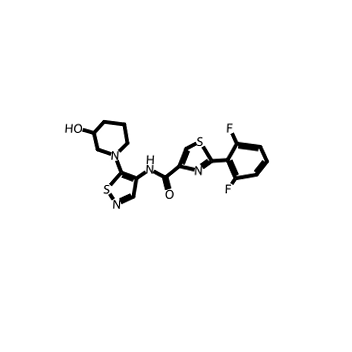 O=C(Nc1cnsc1N1CCCC(O)C1)c1csc(-c2c(F)cccc2F)n1